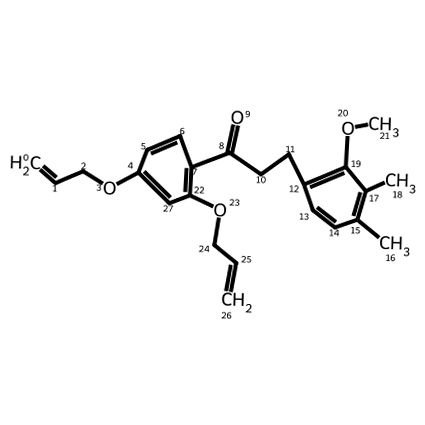 C=CCOc1ccc(C(=O)CCc2ccc(C)c(C)c2OC)c(OCC=C)c1